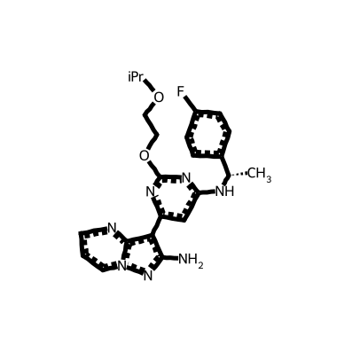 CC(C)OCCOc1nc(N[C@@H](C)c2ccc(F)cc2)cc(-c2c(N)nn3cccnc23)n1